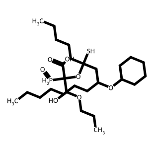 CCCCCCCC(CC(S)(CCCCC)OC([PH2]=O)(C(=O)O)C(O)OCCC)OC1CCCCC1